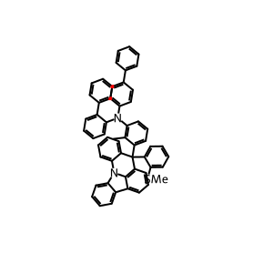 CSc1ccccc1C1(c2cccc(N(c3ccc(-c4ccccc4)cc3)c3ccccc3-c3ccccc3)c2C)c2ccccc2-n2c3ccccc3c3cccc1c32